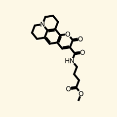 COC(=O)CCCNC(=O)c1cc2cc3c4c(c2oc1=O)CCCN4CCC3